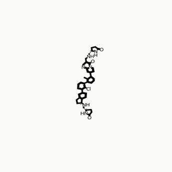 Cc1c(-c2ccn3c(=O)c(CNC[C@@H]4CCC(=O)N4)cnc3c2)cccc1-c1cccc(-c2ccc3c(c2)CC[C@@H]3NC[C@@H]2CCC(=O)N2)c1Cl